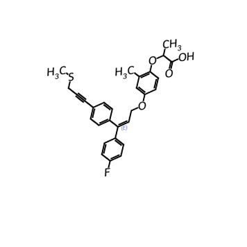 CSCC#Cc1ccc(/C(=C\COc2ccc(OC(C)C(=O)O)c(C)c2)c2ccc(F)cc2)cc1